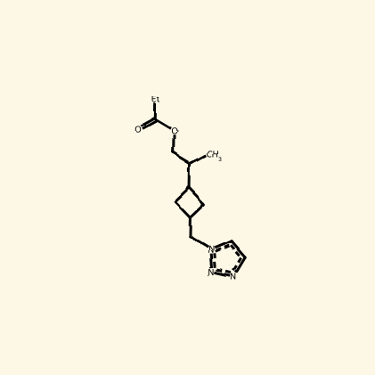 CCC(=O)OCC(C)C1CC(Cn2ccnn2)C1